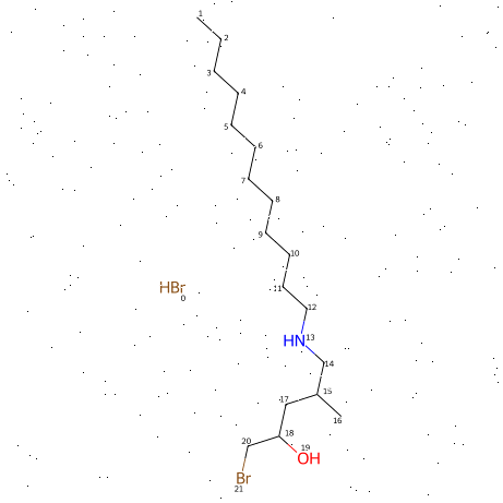 Br.CCCCCCCCCCCCNCC(C)CC(O)CBr